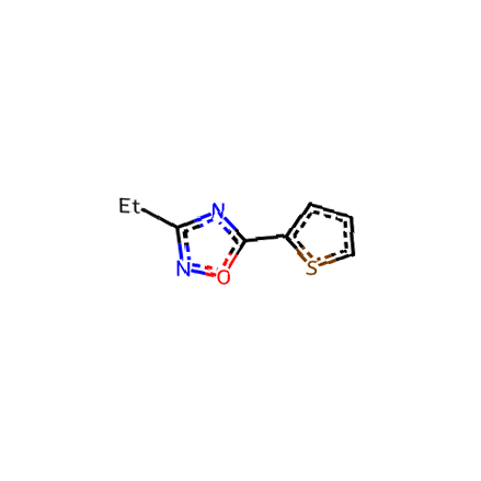 CCc1noc(-c2cccs2)n1